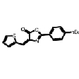 CCCCc1ccc(C2=NC(=Cc3cccs3)C(=O)O2)cc1